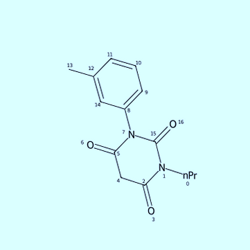 CCCN1C(=O)CC(=O)N(c2cccc(C)c2)C1=O